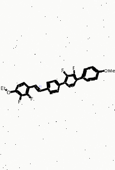 CCOc1ccc(/C=C/c2ccc(-c3ccc(-c4ccc(OC)cc4)c(F)c3F)cc2)c(F)c1F